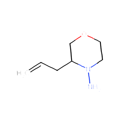 C=CCC1COCCN1N